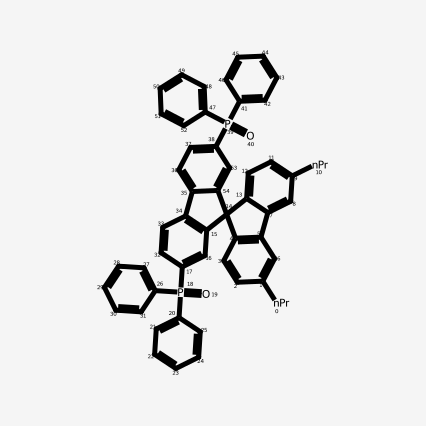 CCCc1ccc2c(c1)-c1cc(CCC)ccc1C21c2cc(P(=O)(c3ccccc3)c3ccccc3)ccc2-c2ccc(P(=O)(c3ccccc3)c3ccccc3)cc21